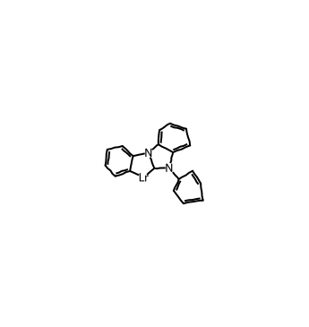 c1ccc(N2c3ccccc3N3c4cccc[c]4[Lr][CH]23)cc1